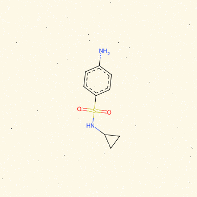 Nc1ccc(S(=O)(=O)NC2CC2)cc1